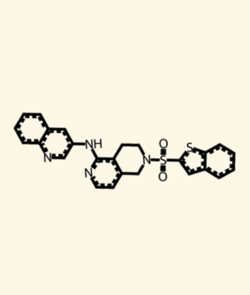 O=S(=O)(c1cc2ccccc2s1)N1CCc2c(ccnc2Nc2cnc3ccccc3c2)C1